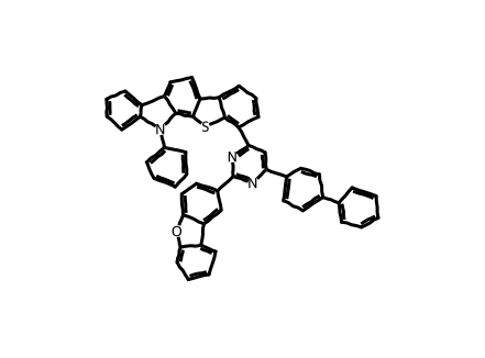 c1ccc(-c2ccc(-c3cc(-c4cccc5c4sc4c5ccc5c6ccccc6n(-c6ccccc6)c54)nc(-c4ccc5oc6ccccc6c5c4)n3)cc2)cc1